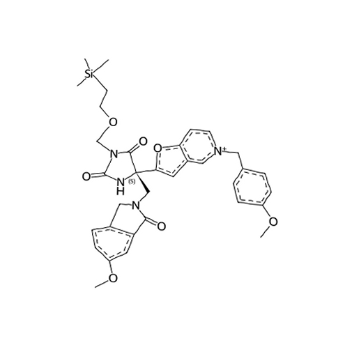 COc1ccc(C[n+]2ccc3oc([C@]4(CN5Cc6ccc(OC)cc6C5=O)NC(=O)N(COCC[Si](C)(C)C)C4=O)cc3c2)cc1